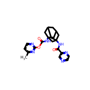 Cc1ccnc(OC(=O)NC23CC4CC(C2)CC(NC(=O)c2cnccn2)(C4)C3)n1